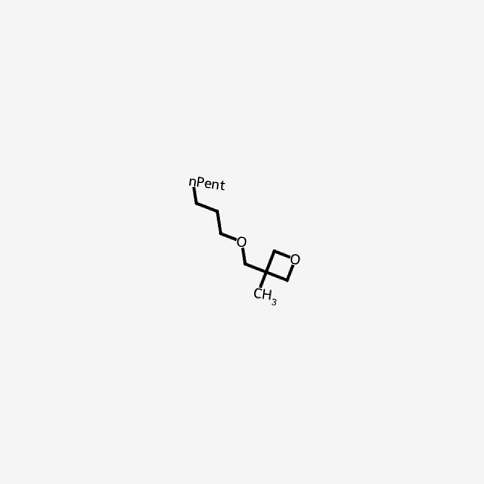 CCCCCCCCOCC1(C)COC1